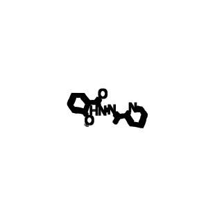 COc1ccccc1C(=O)N/N=C(\C)c1ccccn1